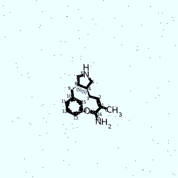 CC(=CC[C@@H]1CNC[C@H]1Cc1ccccc1)C(N)=O